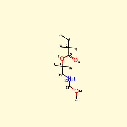 CCC(C)(C)C(=O)OC(C)(C)CNCOC